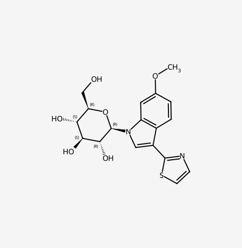 COc1ccc2c(-c3nccs3)cn([C@@H]3O[C@H](CO)[C@@H](O)[C@H](O)[C@H]3O)c2c1